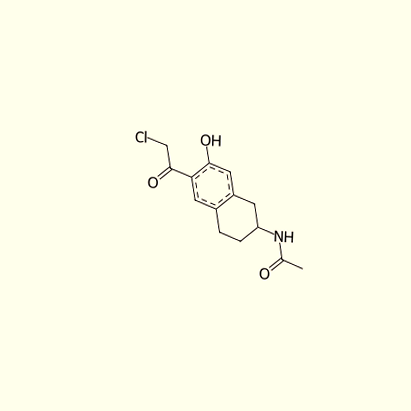 CC(=O)NC1CCc2cc(C(=O)CCl)c(O)cc2C1